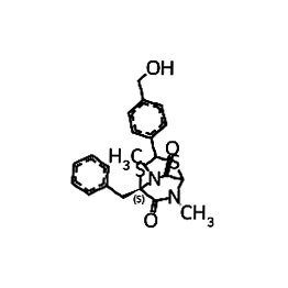 CN1C(=O)[C@]2(Cc3ccccc3)SC(c3ccc(CO)cc3)SC1C(=O)N2C